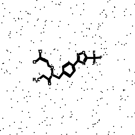 CCC(=O)N(Cc1ccc(-c2noc(C(F)(F)F)n2)cc1)OCC=C(Cl)Cl